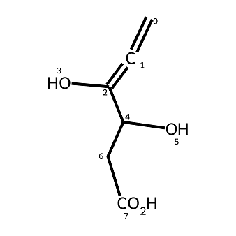 C=C=C(O)C(O)CC(=O)O